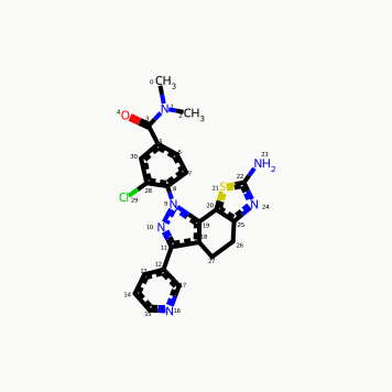 CN(C)C(=O)c1ccc(-n2nc(-c3cccnc3)c3c2-c2sc(N)nc2CC3)c(Cl)c1